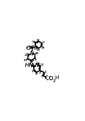 O=C(O)/C=C/c1ccc(NC2CCN(C(=O)c3ccccc3)CC2)nc1